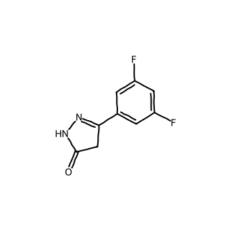 O=C1CC(c2cc(F)cc(F)c2)=NN1